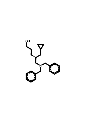 OCCC[C@@H](CC1CC1)CN(Cc1ccccc1)Cc1ccccc1